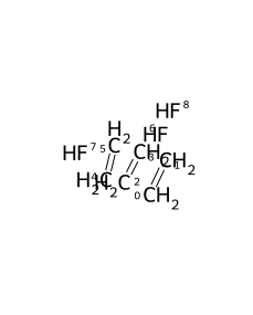 C=C.C=C.C=C.F.F.F